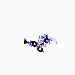 C[C@H]1CC[C@H](c2ccc3cn(C4CC4)nc3c2)N(C(=O)C(=O)Nc2cnc(N)c3cn[nH]c23)C1